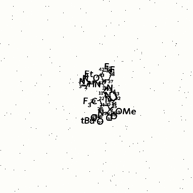 CCn1nccc1C(=O)NC(c1cn2nc(CC3(C(=O)OC)CC(CC(F)(F)F)CN(C(=O)OC(C)(C)C)C3=O)ccc2n1)C1CCC(F)(F)CC1